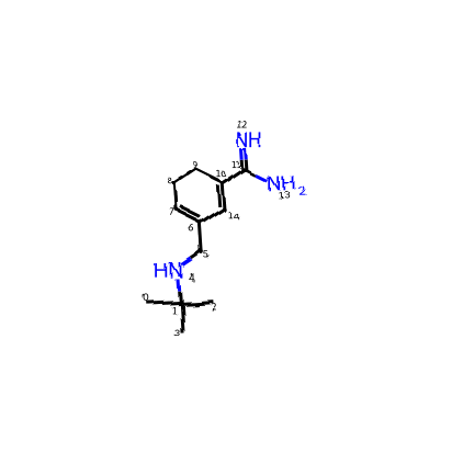 CC(C)(C)NCC1=CCCC(C(=N)N)=C1